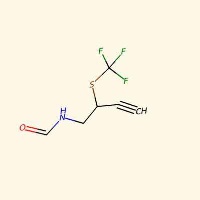 C#CC(CNC=O)SC(F)(F)F